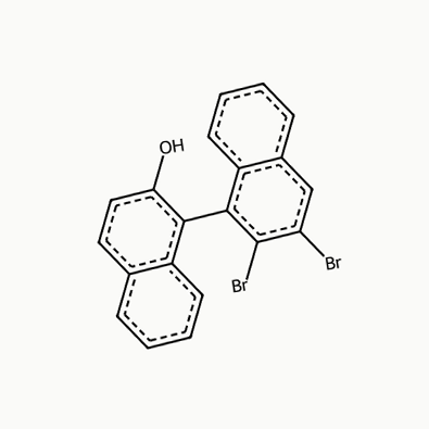 Oc1ccc2ccccc2c1-c1c(Br)c(Br)cc2ccccc12